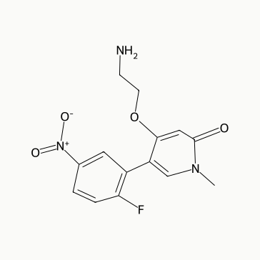 Cn1cc(-c2cc([N+](=O)[O-])ccc2F)c(OCCN)cc1=O